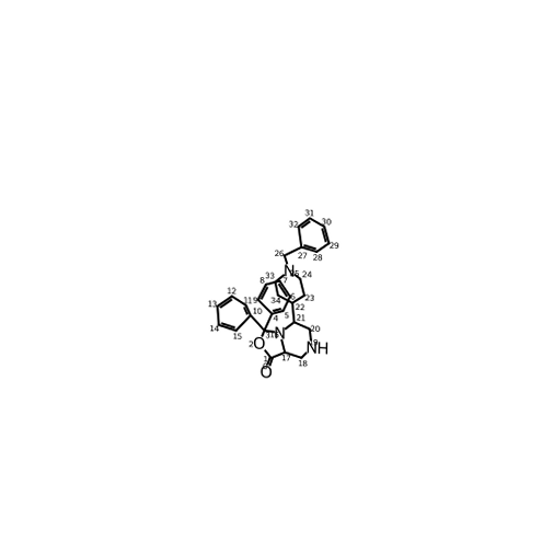 O=C1OC(c2ccccc2)(c2ccccc2)N2C1CNCC2C1CCN(Cc2ccccc2)CC1